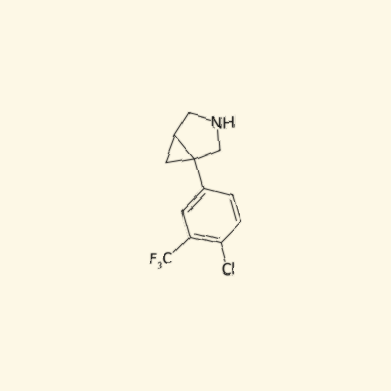 FC(F)(F)c1cc(C23CNCC2C3)ccc1Cl